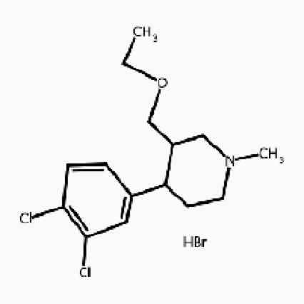 Br.CCOCC1CN(C)CCC1c1ccc(Cl)c(Cl)c1